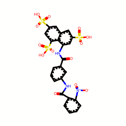 O=C(Nc1cc(S(=O)(=O)O)cc2cc(S(=O)(=O)O)cc(S(=O)(=O)O)c12)c1cccc(NC(=O)c2ccccc2[N+](=O)[O-])c1